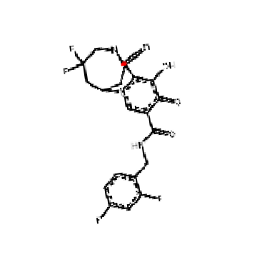 O=C(NCc1ccc(F)cc1F)c1cn2c(c(O)c1=O)C(=O)N1CCC2CC(F)(F)C1